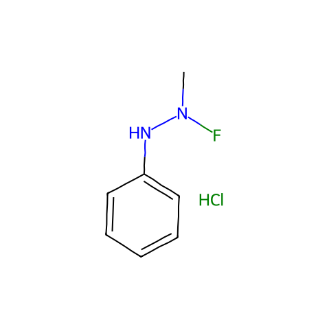 CN(F)Nc1ccccc1.Cl